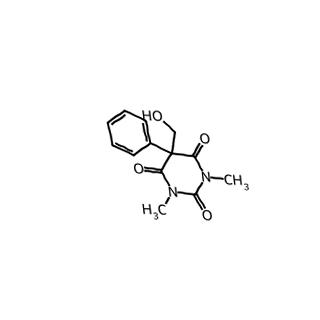 CN1C(=O)N(C)C(=O)C(CO)(c2ccccc2)C1=O